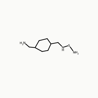 NCC1CCC(CNSN)CC1